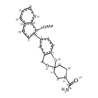 COc1c(-c2ccc3c(c2)COC2(CCN(C(N)=O)CC2)O3)ccc2cccnc12